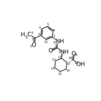 CC(=O)c1cccc(NC(=O)N[C@@H]2CCCC[C@H]2C(=O)O)c1